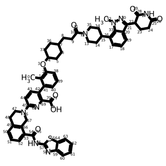 Cc1c(OC2CCC(CCC(=O)N3CCC(c4cccc5c(C6CCC(=O)NC6=O)nn(C)c45)CC3)CC2)cccc1-c1ccc(N2CCc3cccc(C(=O)Nc4nc5ccccc5s4)c3C2)nc1C(=O)O